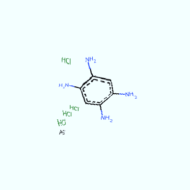 Cl.Cl.Cl.Cl.Nc1cc(N)c(N)cc1N.[Ag]